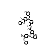 COc1ccc(N(Cc2cccnn2)c2cccc(C(=O)OC(=O)c3cccc(N(CC4CCNCC4)c4ccc(OC)c(OC5CCCC5)c4)c3)c2)cc1OC1CCCC1